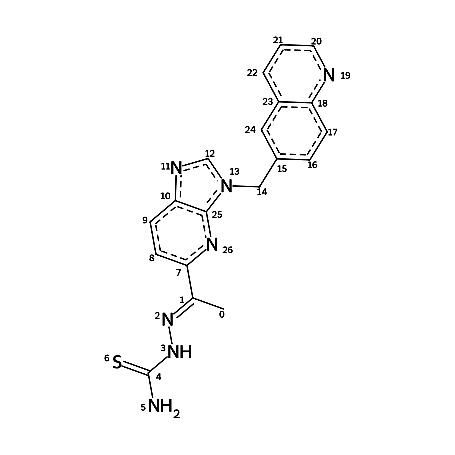 C/C(=N\NC(N)=S)c1ccc2ncn(Cc3ccc4ncccc4c3)c2n1